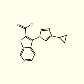 O=C(Cl)c1sc2ccccc2c1-n1cnc(C2CC2)c1